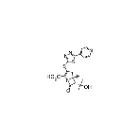 CC(C)(O)[C@@H]1C(=O)N2C(C(=O)O)=C(Sc3nnc(-c4ccncc4)s3)C[C@H]12